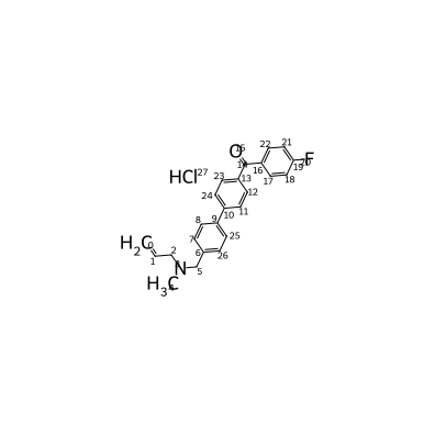 C=CCN(C)Cc1ccc(-c2ccc(C(=O)c3ccc(F)cc3)cc2)cc1.Cl